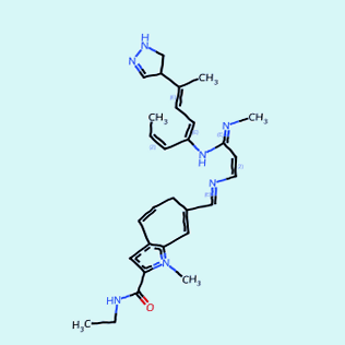 C\C=C/C(=C\C=C(/C)C1C=NNC1)NC(/C=C\N=C\C1=Cc2c(cc(C(=O)NCC)n2C)C=CC1)=N/C